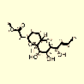 COC(=O)C[C@H]1CC[C@@H]2OC([C@@H](O)/C=C/I)[C@@H](O)[C@@H](O)[C@H]2O1